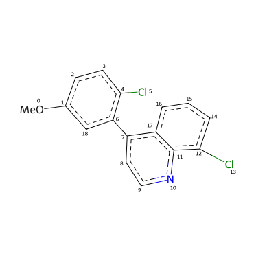 COc1ccc(Cl)c(-c2ccnc3c(Cl)cccc23)c1